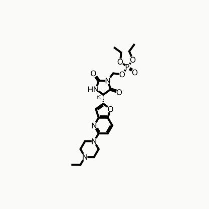 CCOP(=O)(OCC)OCN1C(=O)N[C@@H](c2cc3nc(N4CCN(CC)CC4)ccc3o2)C1=O